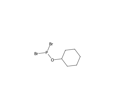 BrP(Br)OC1CCCCC1